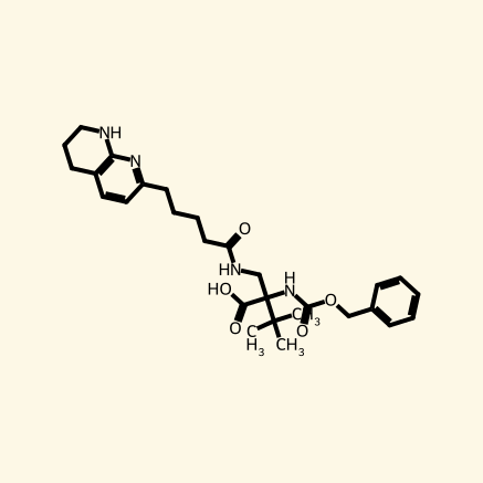 CC(C)(C)C(CNC(=O)CCCCc1ccc2c(n1)NCCC2)(NC(=O)OCc1ccccc1)C(=O)O